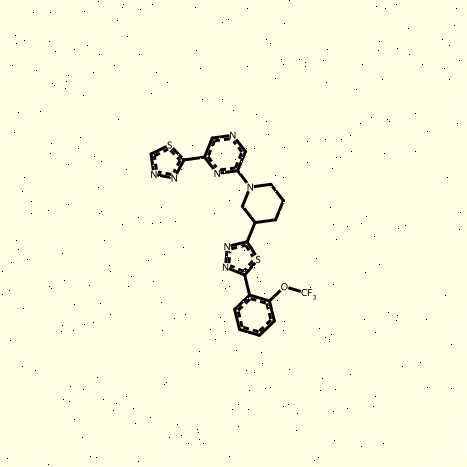 FC(F)(F)Oc1ccccc1-c1nnc(C2CCCN(c3cncc(-c4nncs4)n3)C2)s1